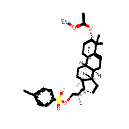 CCOC(C)O[C@H]1CC[C@@]2(C)C(=CC[C@H]3[C@@H]4CC[C@H]([C@H](C)COS(=O)(=O)c5ccc(C)cc5)[C@@]4(C)CC[C@@H]32)C1(C)C